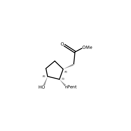 CCCCC[C@H]1[C@@H](CC(=O)OC)CC[C@H]1O